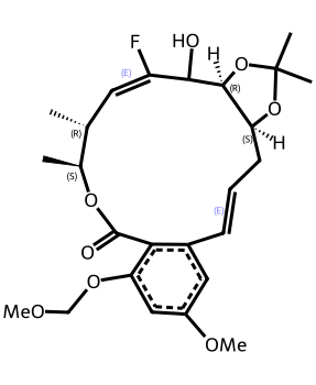 COCOc1cc(OC)cc2c1C(=O)O[C@@H](C)[C@H](C)/C=C(/F)C(O)[C@H]1OC(C)(C)O[C@H]1C/C=C/2